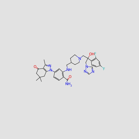 Cc1nn(-c2ccc(C(N)=O)c(NCC3CCN(CC(O)(Cn4cncn4)c4ccc(F)cc4F)CC3)c2)c2c1C(=O)CC(C)(C)C2